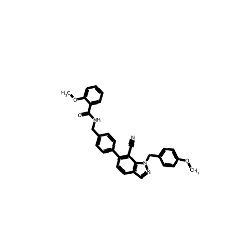 COc1ccc(Cn2ncc3ccc(-c4ccc(CNC(=O)c5ccccc5OC)cc4)c(C#N)c32)cc1